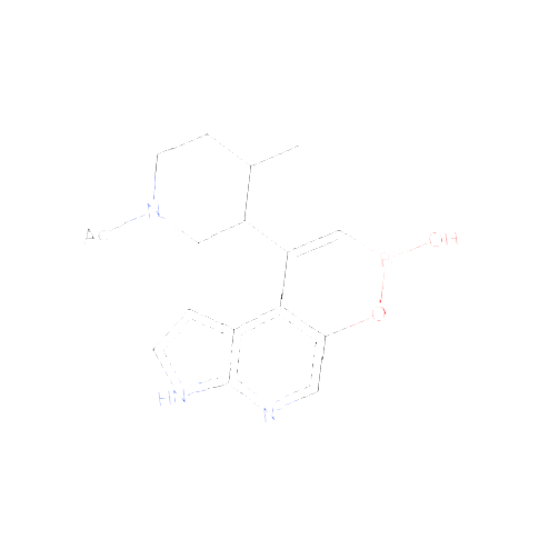 CC(=O)N1CCC(C)C(C2=CB(O)Oc3cnc4[nH]ccc4c32)C1